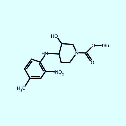 Cc1ccc(NC2CCN(C(=O)OC(C)(C)C)CC2O)c([N+](=O)[O-])c1